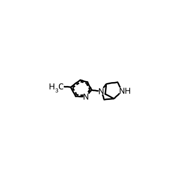 Cc1ccc(N2CC3CC2CN3)nc1